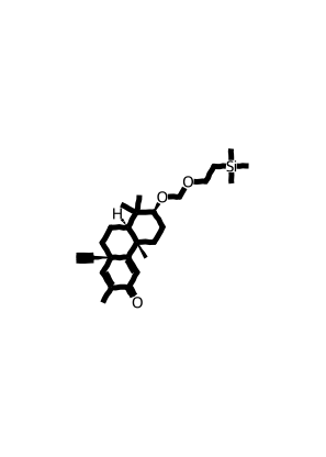 C#C[C@]12C=C(C)C(=O)C=C1[C@@]1(C)CC[C@H](OCOCC[Si](C)(C)C)C(C)(C)[C@@H]1CC2